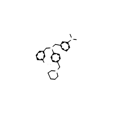 COc1cccc(CN(Cc2cccc(N(C)C)c2)c2ccc(CN3CCCCC3)cc2)c1